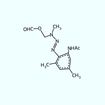 CC(=O)Nc1cc(C)cc(C)c1/N=N/N(C)COC=O